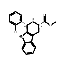 COC(=O)[C@@H]1Cc2c([nH]c3ccccc23)[C@H](c2ccccc2Cl)N1